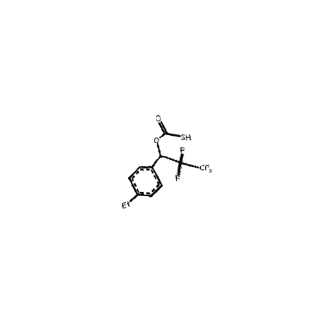 CCc1ccc(C(OC(=O)S)C(F)(F)C(F)(F)F)cc1